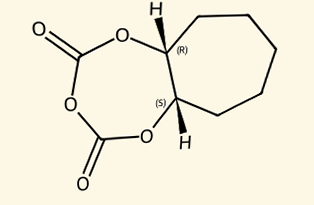 O=C1OC(=O)O[C@@H]2CCCCC[C@@H]2O1